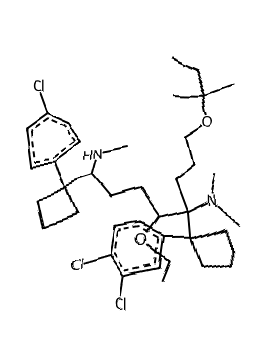 CCOC(CCC(NC)C1(c2ccc(Cl)cc2)CCC1)C(CCCOC(C)(C)CC)(N(C)C)C1(c2ccc(Cl)c(Cl)c2)CCC1